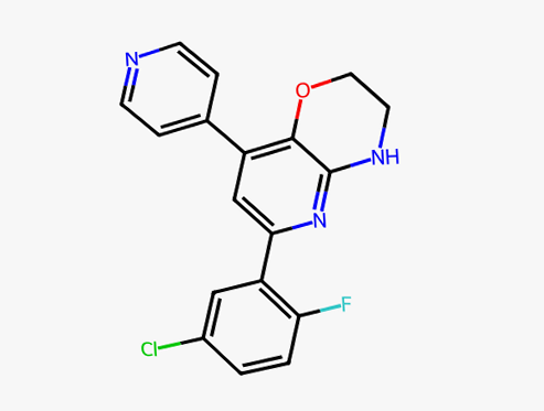 Fc1ccc(Cl)cc1-c1cc(-c2ccncc2)c2c(n1)NCCO2